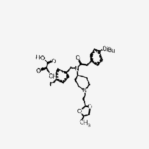 CC(C)COc1ccc(CC(=O)N(Cc2ccc(F)cc2)C2CCN(CCC3OCC(C)O3)CC2)cc1.O=C(O)C(=O)O